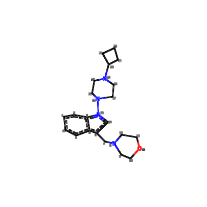 [c]1ccc2c(c1)c(CN1CCOCC1)cn2N1CCN(C2CCC2)CC1